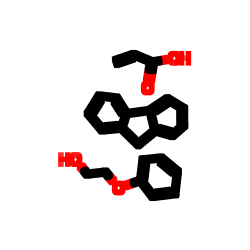 C=CC(=O)O.OCCOc1ccccc1.c1ccc2c(c1)Cc1ccccc1-2